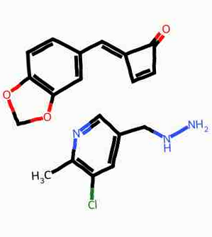 Cc1ncc(CNN)cc1Cl.O=C1C=CC1=Cc1ccc2c(c1)OCO2